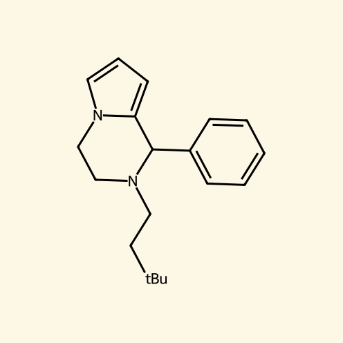 CC(C)(C)CCN1CCn2cccc2C1c1ccccc1